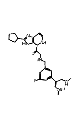 CN/C=C(\CNC)c1cc(F)cc(CNCC(=O)C2NC=Cc3nc(C4CCCC4)[nH]c32)c1